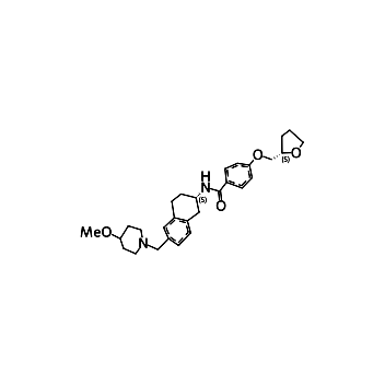 COC1CCN(Cc2ccc3c(c2)CC[C@H](NC(=O)c2ccc(OC[C@@H]4CCCO4)cc2)C3)CC1